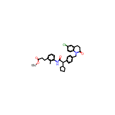 Cc1c(CCC(=O)OC(C)(C)C)cccc1NC(=O)C(c1ccc(CN2C(=O)CCc3cc(Cl)ccc32)cc1)C1CCCC1